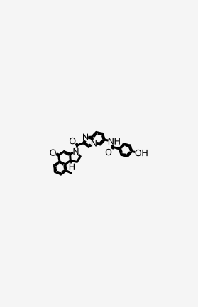 Cc1cccc2c1[C@H]1CCN(C(=O)c3cn4cc(NC(=O)c5ccc(O)cc5)ccc4n3)C1=CC2=O